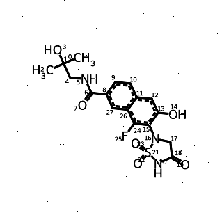 CC(C)(O)CNC(=O)c1ccc2cc(O)c(N3CC(=O)NS3(=O)=O)c(F)c2c1